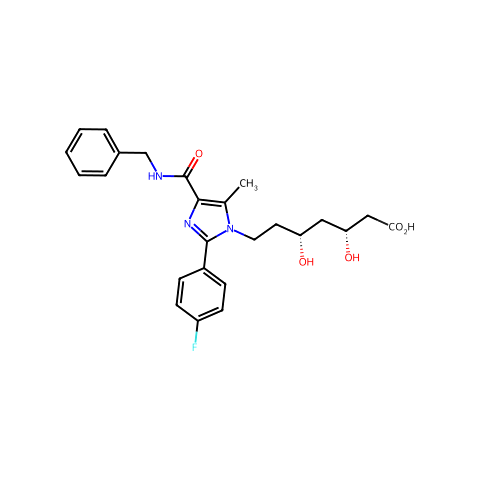 Cc1c(C(=O)NCc2ccccc2)nc(-c2ccc(F)cc2)n1CC[C@@H](O)C[C@@H](O)CC(=O)O